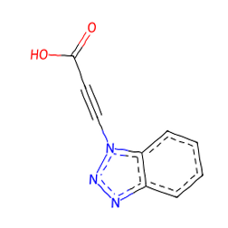 O=C(O)C#Cn1nnc2ccccc21